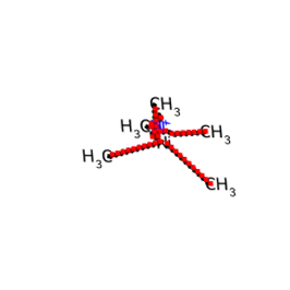 CCCCCCCCCCCCC#CCCCc1ccccc1C1=C(CC)C=C(c2cccc(CCCC)c2)[N+]1=[N-].CCCCCCCCCCCCCCCCCCCC[CH2][Ni][CH2]CCCCCCCCCCCCCCCCCCCC